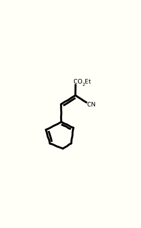 CCOC(=O)/C(C#N)=C/C1=CCCC=C1